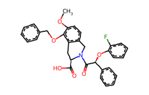 COc1ccc2c(c1OCc1ccccc1)C[C@H](C(=O)O)N(C(=O)[C@@H](Oc1ccccc1F)c1ccccc1)C2